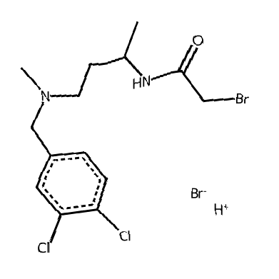 CC(CCN(C)Cc1ccc(Cl)c(Cl)c1)NC(=O)CBr.[Br-].[H+]